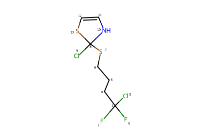 FC(F)(Cl)CCCSC1(Cl)NC=CS1